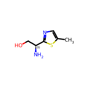 Cc1cnc([C@@H](N)CO)s1